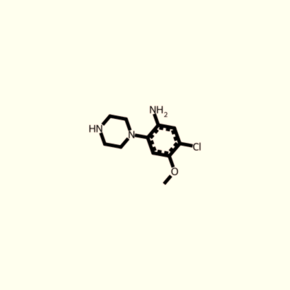 COc1cc(N2CCNCC2)c(N)cc1Cl